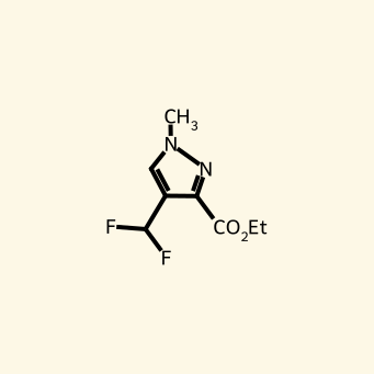 CCOC(=O)c1nn(C)cc1C(F)F